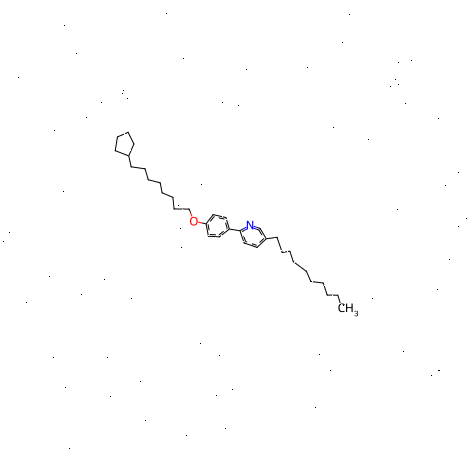 CCCCCCCCCCc1ccc(-c2ccc(OCCCCCCCCC3CCCC3)cc2)nc1